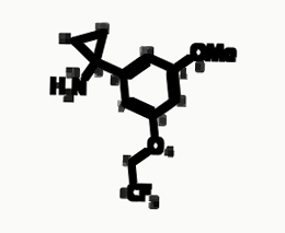 COc1cc(OCC(F)(F)F)cc(C2(N)CC2)c1